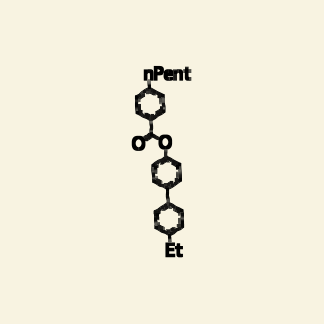 CCCCCc1ccc(C(=O)Oc2ccc(-c3ccc(CC)cc3)cc2)cc1